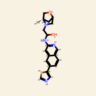 OC(CN1CC2C[C@@H]1CO2)Nc1cc2cc(-c3cncs3)ccc2cn1